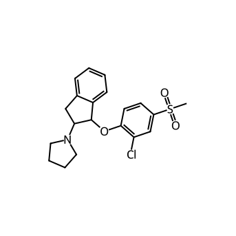 CS(=O)(=O)c1ccc(OC2c3ccccc3CC2N2CCCC2)c(Cl)c1